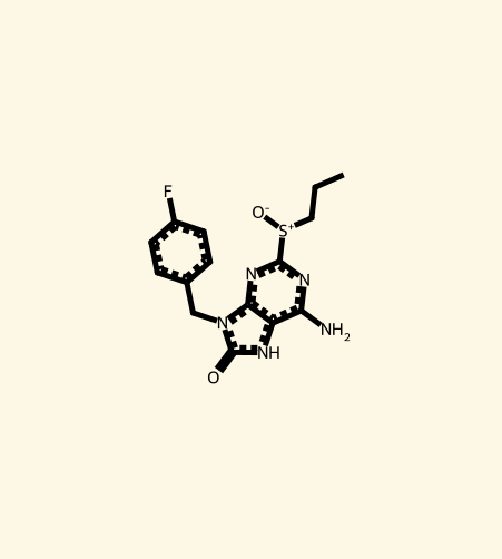 CCC[S+]([O-])c1nc(N)c2[nH]c(=O)n(Cc3ccc(F)cc3)c2n1